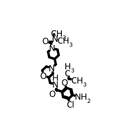 CC(C)Oc1cc(N)c(Cl)cc1C(=O)NCC1CN(CC2CCN(C(=O)N(C)C)CC2)CCO1